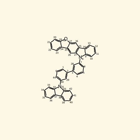 c1cc(-c2cccc(-n3c4ccccc4c4cc5oc6ccccc6c5cc43)c2)cc(-n2c3ccccc3c3ccccc32)c1